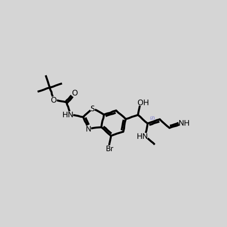 CN/C(=C\C=N)C(O)c1cc(Br)c2nc(NC(=O)OC(C)(C)C)sc2c1